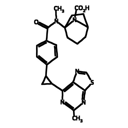 Cc1nc(C2CC2c2ccc(C(=O)N(C)C34CCCC(CC3)N4C(=O)O)cc2)c2ncsc2n1